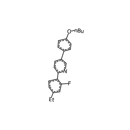 CCCCOc1ccc(-c2ccc(-c3ccc(CC)cc3F)nc2)cc1